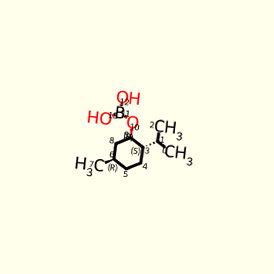 CC(C)[C@@H]1CC[C@@H](C)C[C@H]1OB(O)O